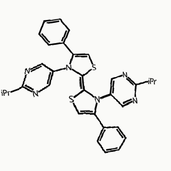 CC(C)c1ncc(N2C(c3ccccc3)=CS/C2=C2/SC=C(c3ccccc3)N2c2cnc(C(C)C)nc2)cn1